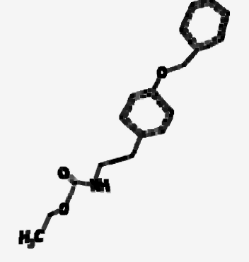 CCOC(=O)NCCc1ccc(OCc2ccccc2)cc1